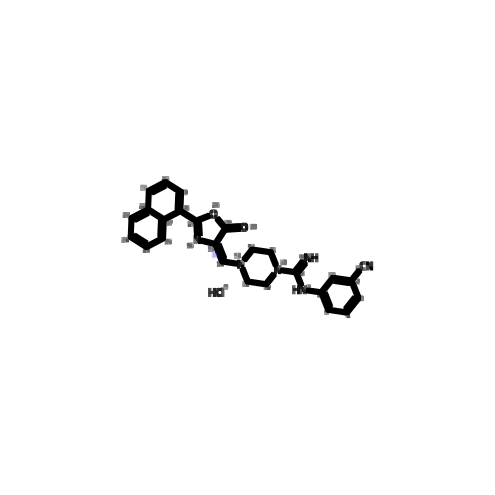 Cl.N#Cc1cccc(NC(=N)N2CCN(/C=C3/N=C(c4cccc5ccccc45)OC3=O)CC2)c1